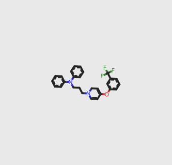 FC(F)(F)c1cccc(OC2=CCN(CCCN(c3ccccc3)c3ccccc3)C=C2)c1